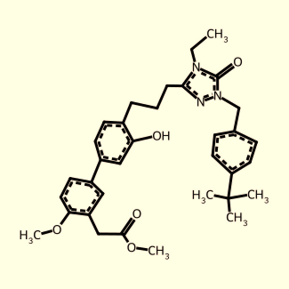 CCn1c(CCCc2ccc(-c3ccc(OC)c(CC(=O)OC)c3)cc2O)nn(Cc2ccc(C(C)(C)C)cc2)c1=O